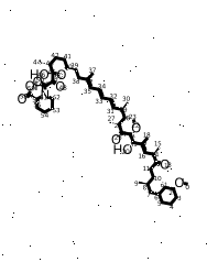 CO[C@H]1CCCC(C[C@@H](C)CCC(=O)[C@H](C)/C=C(\C)[C@@H](O)[C@@H](OC)C(=O)[C@H](C)C[C@H](C)/C=C/C=C/C=C(\C)CC[C@@H]2CC[C@@H](C)[C@](O)(C(=O)C(=O)N3CCCC[C@H]3C(=O)O)O2)C1